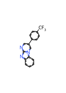 FC(F)(F)c1ccc(-c2cnc3nc4ccccc4n3c2)cc1